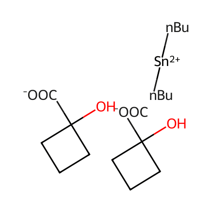 CCC[CH2][Sn+2][CH2]CCC.O=C([O-])C1(O)CCC1.O=C([O-])C1(O)CCC1